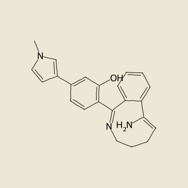 Cn1ccc(-c2ccc(/C3=N/CCC/C=C(\N)c4ccccc43)c(O)c2)c1